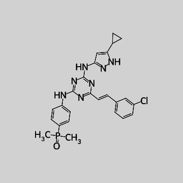 CP(C)(=O)c1ccc(Nc2nc(/C=C/c3cccc(Cl)c3)nc(Nc3cc(C4CC4)[nH]n3)n2)cc1